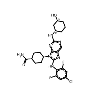 NC(=O)[C@H]1CC[C@@H](n2c(Nc3c(F)cc(Cl)cc3F)nc3cnc(N[C@@H]4CCC[C@H](O)C4)nc32)CC1